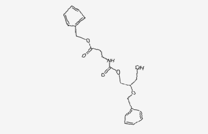 O=C(CCNC(=O)OCC(CO)OCc1ccccc1)OCc1ccccc1